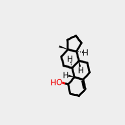 C[C@@]12CCC[C@H]1[C@@H]1CCC3=CCCC(O)[C@@H]3[C@H]1CC2